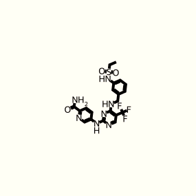 CCS(=O)(=O)Nc1cccc(CNc2nc(Nc3ccc(C(N)=O)nc3)ncc2C(F)(F)F)c1